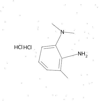 Cc1cccc(N(C)C)c1N.Cl.Cl